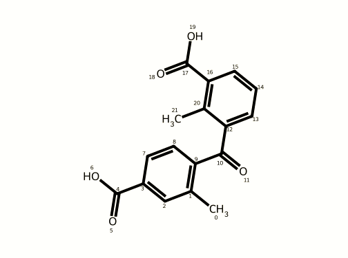 Cc1cc(C(=O)O)ccc1C(=O)c1cccc(C(=O)O)c1C